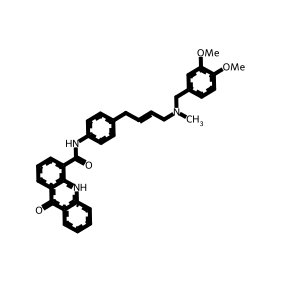 COc1ccc(CN(C)CC=CCc2ccc(NC(=O)c3cccc4c(=O)c5ccccc5[nH]c34)cc2)cc1OC